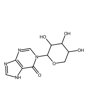 O=c1c2[nH]cnc2ncn1C1OCC(O)C(O)C1O